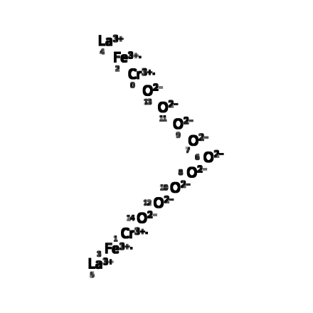 [Cr+3].[Cr+3].[Fe+3].[Fe+3].[La+3].[La+3].[O-2].[O-2].[O-2].[O-2].[O-2].[O-2].[O-2].[O-2].[O-2]